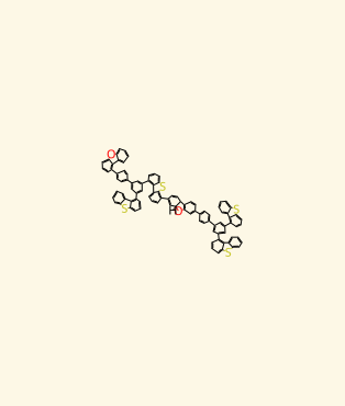 C1=CC2c3ccc(-c4ccc(-c5cc(-c6cccc7sc8ccccc8c67)cc(-c6cccc7sc8ccccc8c67)c5)cc4)cc3O[C@@H]2C=C1c1cccc2c1sc1cccc(-c3cc(-c4ccc(-c5cccc6oc7ccccc7c56)cc4)cc(-c4cccc5sc6ccccc6c45)c3)c12